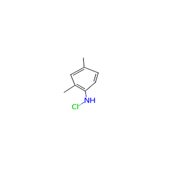 Cc1ccc(NCl)c(C)c1